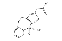 O=C([O-])Cc1ccc2c(c1)CCc1ccccc1S2(=O)=O.[Na+]